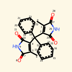 CC1=C(C(C2=C(C)C(=O)NC2=O)(c2ccccc2)c2ccccc2)C(=O)NC1=O